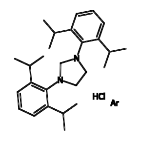 CC(C)c1cccc(C(C)C)c1N1CCN(c2c(C(C)C)cccc2C(C)C)C1.Cl.[Ar]